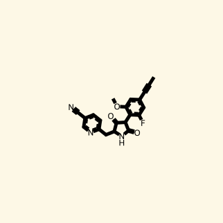 CC#Cc1cc(F)c(C2C(=O)NC(Cc3ccc(C#N)cn3)C2=O)c(OC)c1